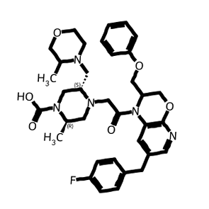 CC1COCCN1C[C@H]1CN(C(=O)O)[C@H](C)CN1CC(=O)N1c2cc(Cc3ccc(F)cc3)cnc2OCC1COc1ccccc1